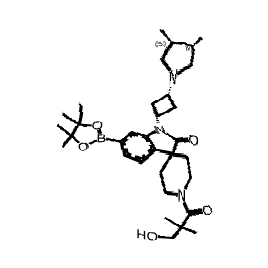 C[C@@H]1CN([C@H]2C[C@@H](N3C(=O)C4(CCN(C(=O)C(C)(C)CO)CC4)c4ccc(B5OC(C)(C)C(C)(C)O5)cc43)C2)C[C@@H]1C